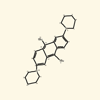 CC(C)(C)c1c2ccc(N3CCCCC3)cc2c(C(C)(C)C)c2ccc(N3CCCCC3)cc12